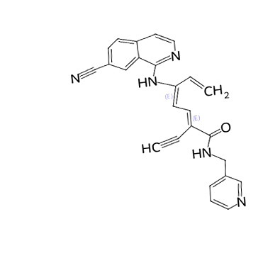 C#C/C(=C\C=C(/C=C)Nc1nccc2ccc(C#N)cc12)C(=O)NCc1cccnc1